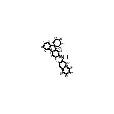 c1ccc2c(c1)-c1ccc(Nc3ccc4ccccc4c3)cc1C21CCCCC1